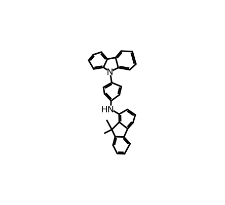 CC1(C)c2ccccc2-c2cccc(Nc3ccc(-n4c5ccccc5c5ccccc54)cc3)c21